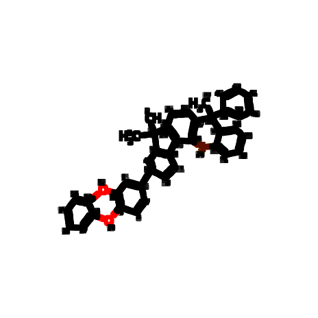 CC1(C)c2cc(-c3ccc4c(c3)Oc3ccccc3O4)ccc2-c2c1ccc1c2Sc2ccccc2C1(C)c1ccccc1